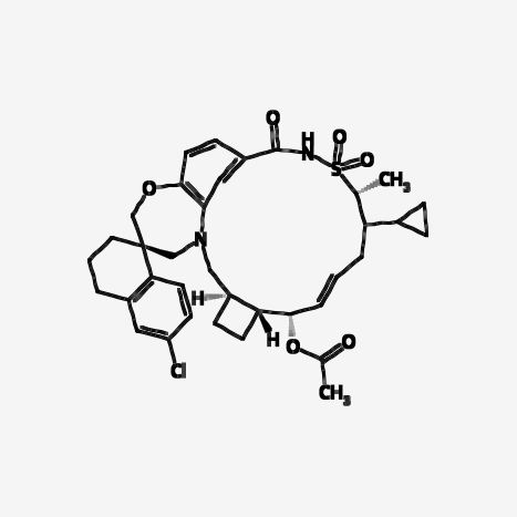 CC(=O)O[C@H]1/C=C/CC(C2CC2)[C@@H](C)S(=O)(=O)NC(=O)c2ccc3c(c2)N(C[C@@H]2CC[C@H]21)C[C@@]1(CCCc2cc(Cl)ccc21)CO3